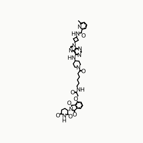 Cc1cccc(C(=O)NC2CC(n3cnc4c(NC5CCN(C(=O)CCCCCNC(=O)COc6cccc7c6C(=O)N([C@H]6CCC(=O)NC6=O)C7=O)CC5)ncnc43)C2)n1